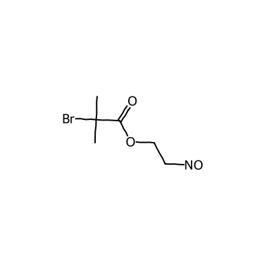 CC(C)(Br)C(=O)OCCN=O